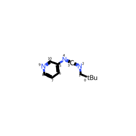 CC(C)(C)CN=C=Nc1cccnc1